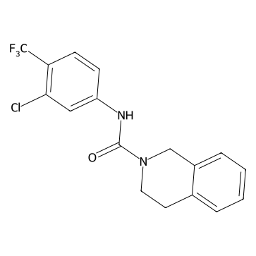 O=C(Nc1ccc(C(F)(F)F)c(Cl)c1)N1CCc2ccccc2C1